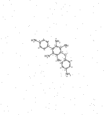 CC(C)(C)c1c(N)c(-c2ccc(N)cc2)c(N)c(C(C)(C)C)c1Oc1ccc(N)cc1